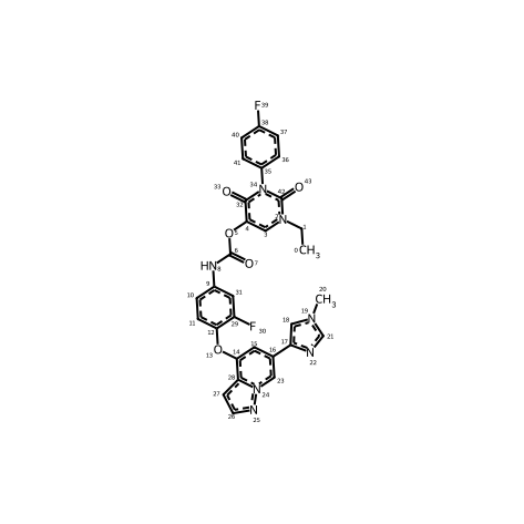 CCn1cc(OC(=O)Nc2ccc(Oc3cc(-c4cn(C)cn4)cn4nccc34)c(F)c2)c(=O)n(-c2ccc(F)cc2)c1=O